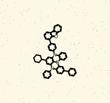 c1ccc(-c2ccc3c(c2)B2c4ccccc4N(c4ccc(-c5cccc6c5oc5ccccc56)cc4)c4cc(C5CCCCC5)cc(c42)N3c2ccccc2)cc1